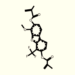 C=C(C)C(=O)Oc1ccc2c(oc3c(C(F)(F)F)c(OC(=O)C(=C)C)ccc32)c1OC